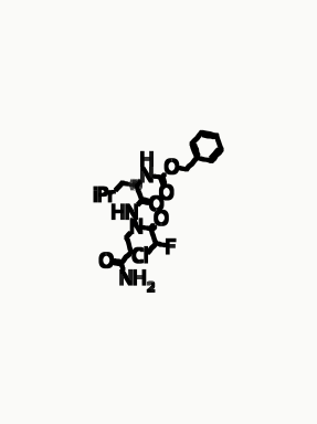 CC(C)C[C@@H](NC(=O)OCc1ccccc1)C(=O)NN(CCC(N)=O)C(=O)C(F)Cl